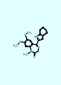 COc1cc2c(cc1OC)N(C)C(=O)CN=C2c1cc2ccccc2[nH]1